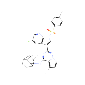 CCOC(=O)[C@@H]1C2CCC(CC2)[C@H]1Nc1nc(-c2cn(S(=O)(=O)c3ccc(C)cc3)c3ncc(F)cc23)nn2ccc(C(F)(F)F)c12